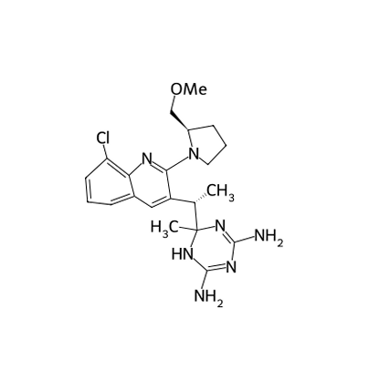 COC[C@H]1CCCN1c1nc2c(Cl)cccc2cc1[C@H](C)C1(C)N=C(N)N=C(N)N1